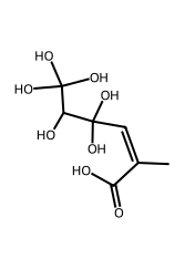 CC(=CC(O)(O)C(O)C(O)(O)O)C(=O)O